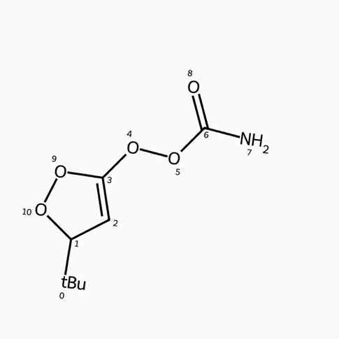 CC(C)(C)C1C=C(OOC(N)=O)OO1